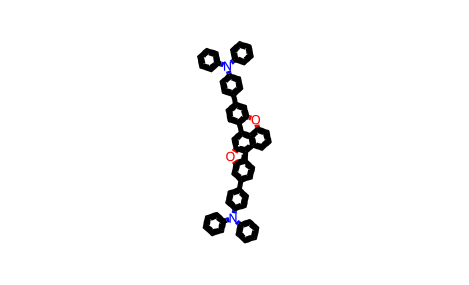 c1ccc(N(c2ccccc2)c2ccc(-c3ccc4c(c3)Oc3cccc5c3c-4cc3oc4cc(-c6ccc(N(c7ccccc7)c7ccccc7)cc6)ccc4c35)cc2)cc1